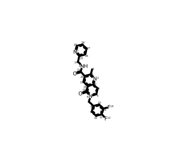 Cc1nc2ccn(Cc3ccc(F)c(F)c3)c(=O)c2cc1C(=O)NCc1ccccn1